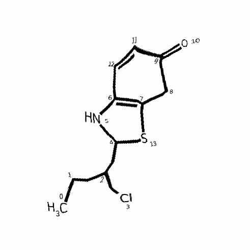 CCC(Cl)C1NC2=C(CC(=O)C=C2)S1